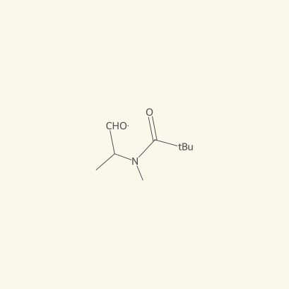 CC([C]=O)N(C)C(=O)C(C)(C)C